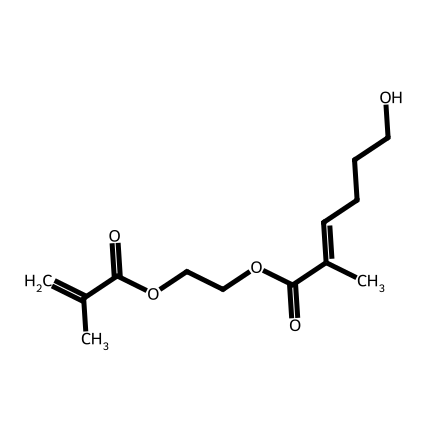 C=C(C)C(=O)OCCOC(=O)C(C)=CCCCO